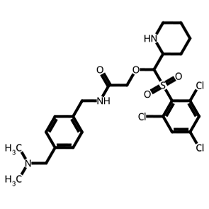 CN(C)Cc1ccc(CNC(=O)COC(C2CCCCN2)S(=O)(=O)c2c(Cl)cc(Cl)cc2Cl)cc1